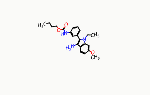 CCCCOC(=O)Nc1cccc(-c2c(N)c3ccc(OC)cc3n2CC)c1